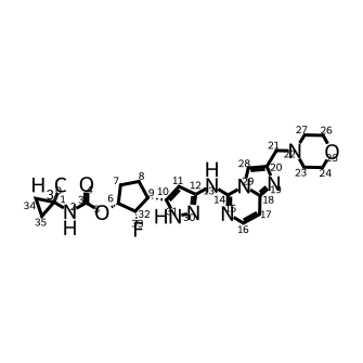 CC1(NC(=O)O[C@@H]2CC[C@H](c3cc(Nc4nccc5nc(CN6CCOCC6)cn45)n[nH]3)[C@@H]2F)CC1